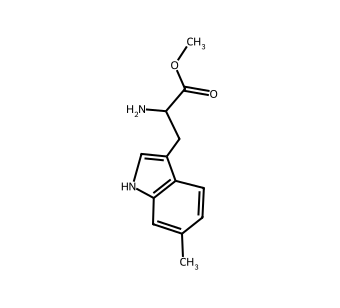 COC(=O)C(N)Cc1c[nH]c2cc(C)ccc12